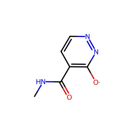 CNC(=O)c1ccnnc1[O]